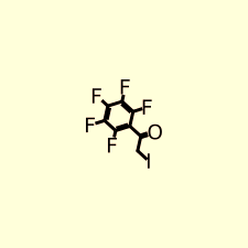 O=C(CI)c1c(F)c(F)c(F)c(F)c1F